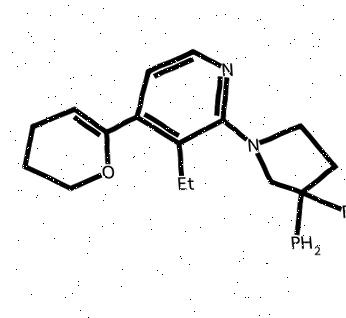 CCc1c(C2=CCCCO2)ccnc1N1CCC(F)(P)C1